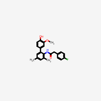 COc1cc(-c2cc(C)cc(C)c2NC(=O)Cc2ccc(F)cc2)ccc1O